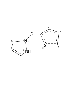 C1=CNN(Cc2cccs2)C1